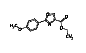 CCOC(=O)c1coc(-c2ccc(OC)cc2)n1